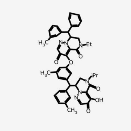 CCN1CC(C(c2ccccc2)c2cccc(C)c2)n2ncc(=O)c(Oc3cc(C)cc(C(c4cccc(C)c4)C4CN(C(C)C)C(=O)c5c(O)c(=O)cnn54)c3)c2C1=O